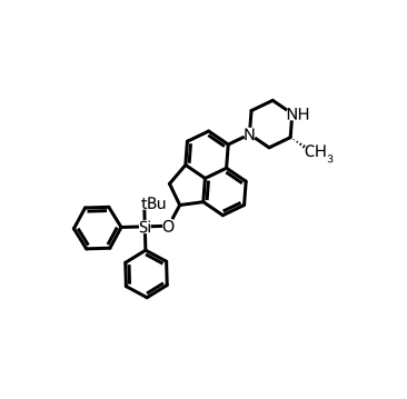 C[C@@H]1CN(c2ccc3c4c(cccc24)C(O[Si](c2ccccc2)(c2ccccc2)C(C)(C)C)C3)CCN1